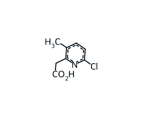 Cc1ccc(Cl)nc1CC(=O)O